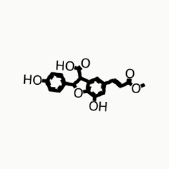 COC(=O)/C=C/c1cc(O)c2c(c1)C(C(=O)O)C(c1ccc(O)cc1)O2